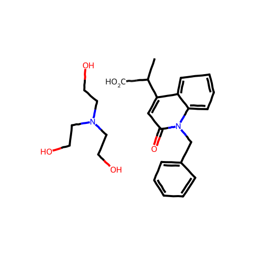 CC(C(=O)O)c1cc(=O)n(Cc2ccccc2)c2ccccc12.OCCN(CCO)CCO